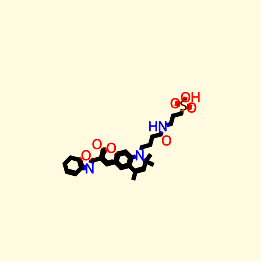 CC1=CC(C)(C)N(CCCC(=O)NCCCS(=O)(=O)O)c2cc3oc(=O)c(-c4nc5c(o4)CCC=C5)cc3cc21